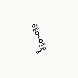 O=C(Nc1ccc(/C=C/c2ccc(NC(=O)[C@@H]3CCCN3OCC3CCC3)cc2)cc1)[C@@H]1CCCN1